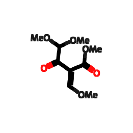 CO/C=C(\C(=O)OC)C(=O)C(OC)OC